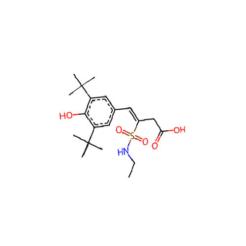 CCNS(=O)(=O)C(=Cc1cc(C(C)(C)C)c(O)c(C(C)(C)C)c1)CC(=O)O